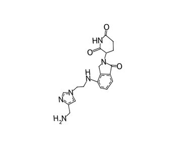 NCc1cn(CCNc2cccc3c2CN(C2CCC(=O)NC2=O)C3=O)cn1